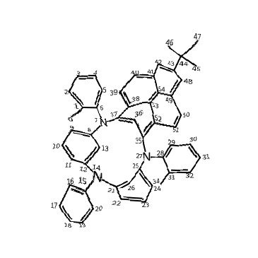 Cc1ccccc1N1c2cccc(c2)N(c2ccccc2)c2cccc(c2)N(c2ccccc2C)c2cc1c1ccc3cc(C(C)(C)C)cc4ccc2c1c34